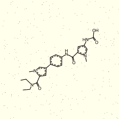 CCN(CC)C(=O)c1cc(-c2ccc(NC(=O)c3cc(NC(=O)O)cn3C)cc2)cn1C